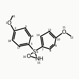 COc1ccc(S2(c3ccc(OC)cc3)NO2)cc1